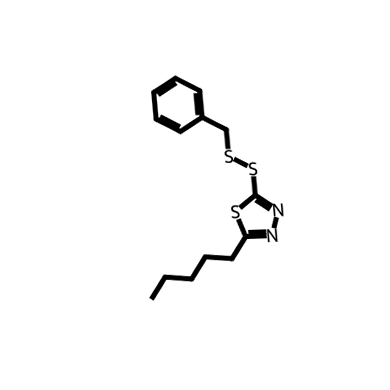 CCCCCc1nnc(SSCc2ccccc2)s1